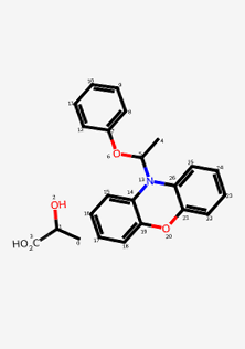 CC(O)C(=O)O.CC(Oc1ccccc1)N1c2ccccc2Oc2ccccc21